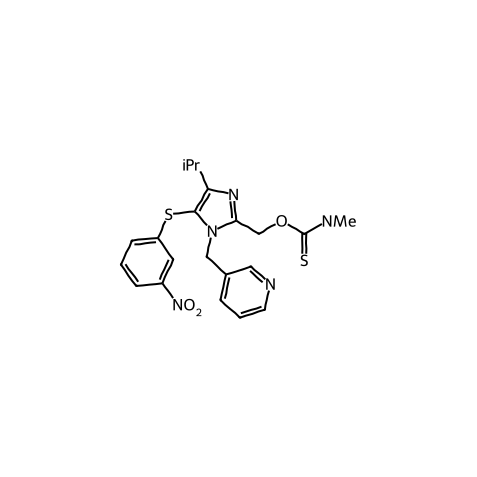 CNC(=S)OCc1nc(C(C)C)c(Sc2cccc([N+](=O)[O-])c2)n1Cc1cccnc1